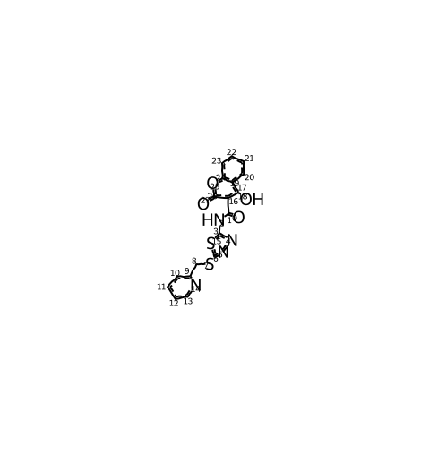 O=C(Nc1nnc(SCc2ccccn2)s1)c1c(O)c2ccccc2oc1=O